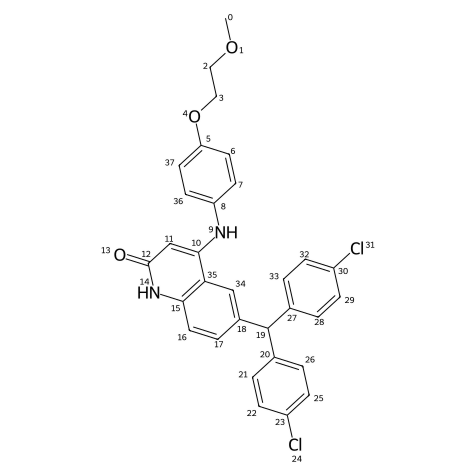 COCCOc1ccc(Nc2cc(=O)[nH]c3ccc(C(c4ccc(Cl)cc4)c4ccc(Cl)cc4)cc23)cc1